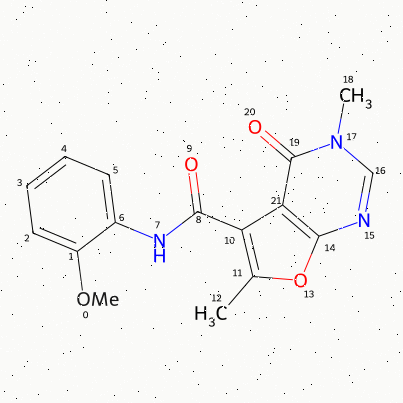 COc1ccccc1NC(=O)c1c(C)oc2ncn(C)c(=O)c12